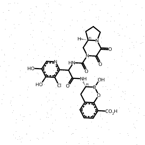 O=C(O)c1cccc2c1OB(O)[C@@H](NC(=O)C(NC(=O)N1C[C@H]3CCCN3C(=O)C1=O)c1ncc(O)c(O)c1Cl)C2